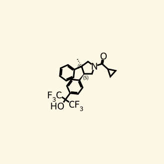 C[C@]1(c2ccccc2)CN(C(=O)C2CC2)C[C@H]1c1ccc(C(O)(C(F)(F)F)C(F)(F)F)cc1